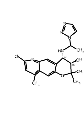 Cc1cc(Cl)nc2cc3c(cc12)OC(C)(C)[C@H](O)[C@H]3NC(C)n1ccnn1